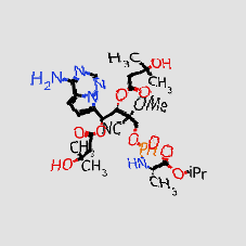 CO[C@](C#N)(CO[PH](=O)N[C@@H](C)C(=O)OC(C)C)[C@@H](OC(=O)CC(C)(C)O)[C@@H](OC(=O)CC(C)(C)O)c1ccc2c(N)ncnn12